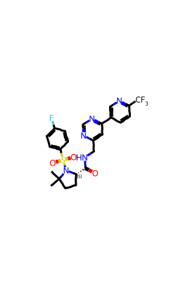 CC1(C)CC[C@@H](C(=O)NCc2cc(-c3ccc(C(F)(F)F)nc3)ncn2)N1S(=O)(=O)c1ccc(F)cc1